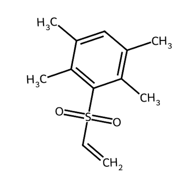 C=CS(=O)(=O)c1c(C)c(C)cc(C)c1C